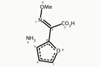 CON=C(C(=O)O)c1ccco1.N